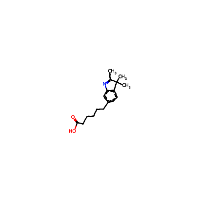 CC1=Nc2cc(CCCCCC(=O)O)ccc2C1(C)C